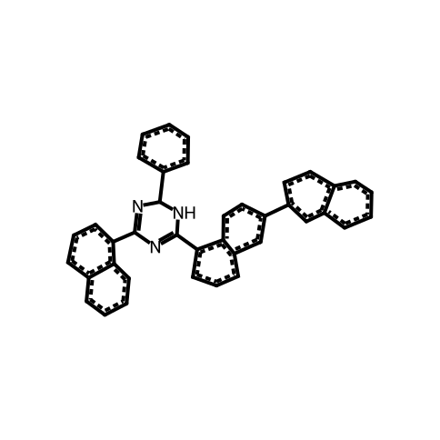 c1ccc(C2N=C(c3cccc4ccccc34)N=C(c3cccc4cc(-c5ccc6ccccc6c5)ccc34)N2)cc1